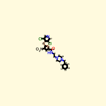 O=C(NCCN1CCN(Cc2ccccc2)CC1)c1cc([N+](=O)[O-])c(Sc2c(Cl)cncc2Cl)s1